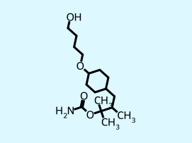 CC(CC1CCC(OCCCCO)CC1)C(C)(C)OC(N)=O